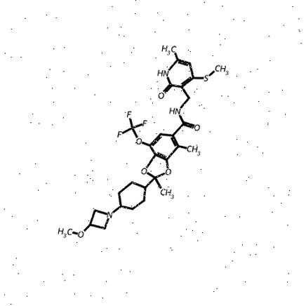 COC1CN(C2CCC(C3(C)Oc4c(OC(F)(F)F)cc(C(=O)NCc5c(SC)cc(C)[nH]c5=O)c(C)c4O3)CC2)C1